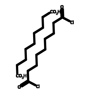 O=C(Cl)CCCCCCCC(=O)Cl.O=C(O)CCCCCCCC(=O)O